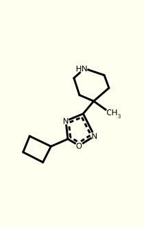 CC1(c2noc(C3CCC3)n2)CCNCC1